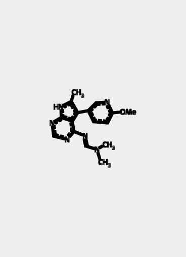 COc1ccc(-c2c(C)[nH]c3ncnc(/N=C/N(C)C)c23)cn1